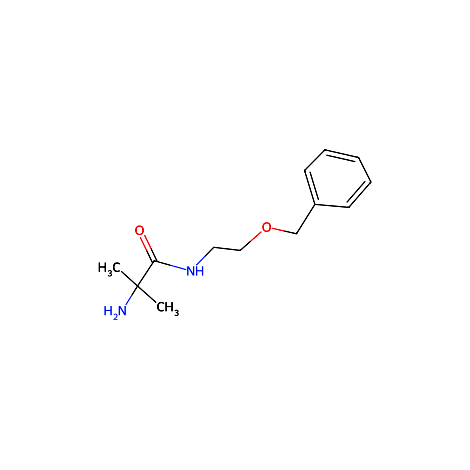 CC(C)(N)C(=O)NCCOCc1ccccc1